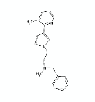 Cc1cccnc1-c1cn(CCN(C)Cc2ccccc2)cn1